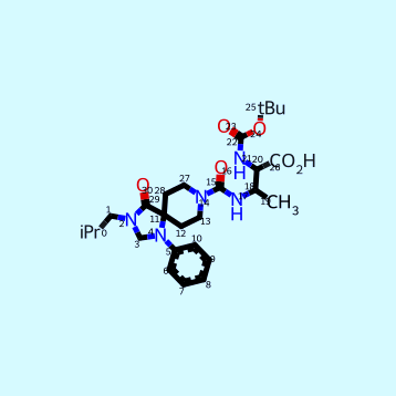 CC(C)CN1CN(c2ccccc2)C2(CCN(C(=O)NC(C)C(NC(=O)OC(C)(C)C)C(=O)O)CC2)C1=O